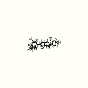 Cc1cn2nc(-c3cc4cn([C@H]5CCNCC5F)nc4s3)cc(C)c2n1